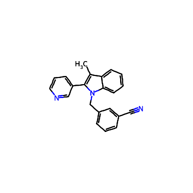 Cc1c(-c2cccnc2)n(Cc2cccc(C#N)c2)c2ccccc12